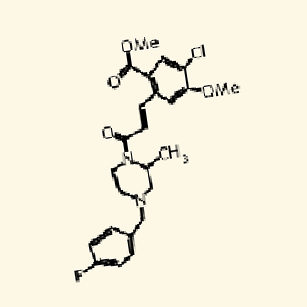 COC(=O)c1cc(Cl)c(OC)cc1C=CC(=O)N1CCN(Cc2ccc(F)cc2)CC1C